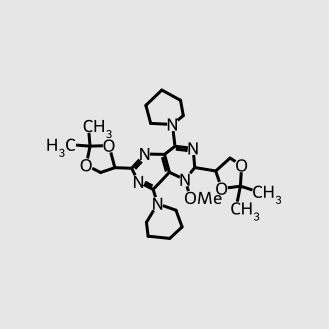 CON1c2c(nc(C3COC(C)(C)O3)nc2N2CCCCC2)C(N2CCCCC2)=NC1C1COC(C)(C)O1